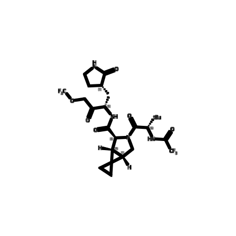 CC(C)(C)[C@H](NC(=O)C(F)(F)F)C(=O)N1C[C@H]2[C@@H]([C@H]1C(=O)N[C@@H](C[C@@H]1CCNC1=O)C(=O)COC(F)(F)F)C21CC1